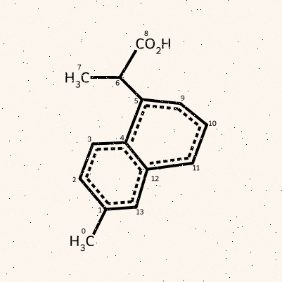 Cc1ccc2c(C(C)C(=O)O)cccc2c1